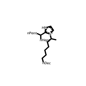 CCCCCCCCCCCCCCCC(C)[n+]1cc[nH]c1C(CCCCC)CCCCCCC